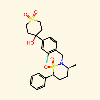 C[C@H]1CC[C@@H](c2ccccc2)S(=O)(=O)N1Cc1ccc(C2(O)CCS(=O)(=O)CC2)cc1F